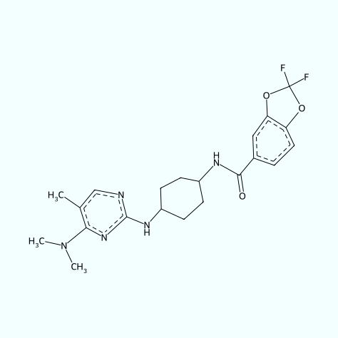 Cc1cnc(NC2CCC(NC(=O)c3ccc4c(c3)OC(F)(F)O4)CC2)nc1N(C)C